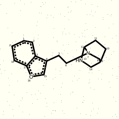 c1ccc2c(CCN3CC4CCC3NC4)coc2c1